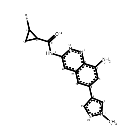 Cn1cc(-c2cc(N)c3nnc(NC(=O)C4CC4F)cc3c2)cn1